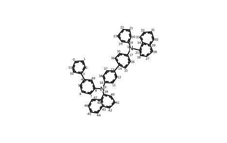 c1ccc(-c2cccc(N(c3ccc(-c4ccc(N(c5ccccc5)c5cccc6ccccc56)cc4)cc3)c3cccc4ccccc34)c2)cc1